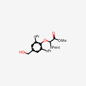 CCCCCC(Oc1c(CCC)cc(CO)cc1CCC)C(=O)OC